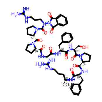 N=C(N)NCCC[C@H](NC(=O)[C@H](Cc1ccccc1)NC(=O)[C@@H]1CCCN1C(=O)[C@H](CO)NC(=O)[C@H](Cc1ccccc1)NC(=O)CNC(=O)[C@@H]1CCCN1C(=O)[C@@H]1CCCN1C(=O)N(CCCNC(=N)N)N1C(=O)c2ccccc2C1=O)C(=O)O